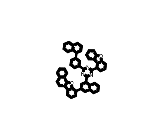 c1cc(-c2nc(-c3cc(-c4cccc5c4oc4c6ccccc6ccc54)cc4ccccc34)nc(-c3cccc4oc5ccccc5c34)n2)cc(-c2cccc3ccccc23)c1